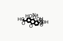 O=C(O)c1cc(O)c2c(c1)C(=O)c1ccc(S(=O)(=O)O)c(O)c1C2=O.[Na]